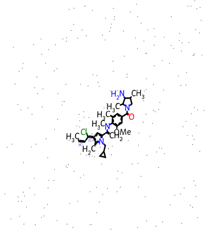 C=C(c1c/c(=C(Cl)/C=C\C)c(=C)n1CC1CC1)N(C)c1c(C)cc(C(=O)N2CC(C)C(N)C2C)cc1OC